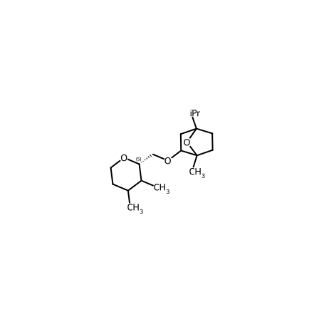 CC1CCO[C@H](COC2CC3(C(C)C)CCC2(C)O3)C1C